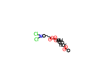 Cc1cc(OC(=O)c2ccccc2)c(C)c2c1[C@H]1CC[C@]3(C)[C@@H](OC(=O)COC(=O)CCCc4ccc(N(CCCl)CCCl)cc4)CC[C@H]3[C@@H]1CC2